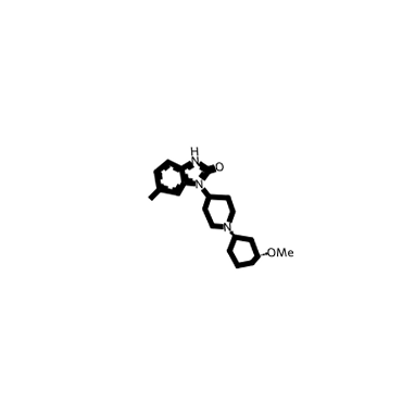 CO[C@@H]1CCC[C@@H](N2CCC(n3c(=O)[nH]c4ccc(C)cc43)CC2)C1